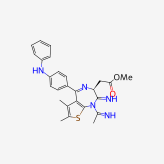 COC(=O)C[C@@H]1N=C(c2ccc(Nc3ccccc3)cc2)c2c(sc(C)c2C)N(C(C)=N)C1=N